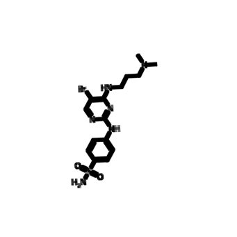 CN(C)CCCNc1nc(Nc2ccc(S(N)(=O)=O)cc2)ncc1Br